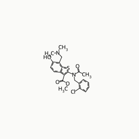 COC(=O)c1c(N(Cc2ccccc2Cl)C(C)=O)sc2c(CN(C)C)c(O)ccc12